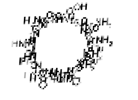 CCCC[C@H]1C(=O)N(C)[C@@H](CCCC)C(=O)N[C@@H](CCCN)C(=O)N[C@H](C(=O)NCC(N)=O)CSCC(=O)N[C@@H](Cc2ccc(O)cc2)C(=O)N2CCOCC2C(=O)N[C@@H](CC(N)=O)C(=O)N2CCC[C@H]2C(=O)N[C@@H](Cc2c[nH]cn2)C(=O)N[C@@H](CC(C)C)C(=O)N2C[C@H](O)C[C@H]2C(=O)N[C@@H](Cc2c[nH]c3ccccc23)C(=O)N[C@@H](CO)C(=O)N[C@@H](Cc2c[nH]c3ccccc23)C(=O)N1C